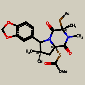 COC(=O)S[C@]12C[C@](C)(C#N)C(c3ccc4c(c3)OCO4)N1C(=O)[C@](C)(SC(C)=O)N(C)C2=O